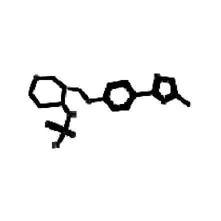 CCS(=O)(=O)N[C@H]1CCSC[C@@H]1COc1ccc(-c2ncc(C)s2)cc1